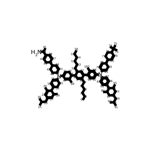 CCCCCCC1=CC(C2CC=C(N(C3=CC=C(C4C(C)=CC(CC(C)C)=CC4C)CC3)C3C=CC(C4C=CC(C(C)N)=CC4)CC3)C=C2C)C(CCCCCC)C=C1c1ccc(N(C2=CCC(C3C=CC(C(C)(C)C)CC3)C=C2)c2ccc(C3C(C)CC(CC(C)C)CC3C)cc2)cc1C